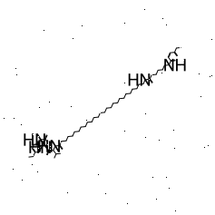 C=C(/C=C\C(=C)NCCCCCC(=C)NCCCCCCCCCCCCCCCCCCCCCCCCCCC(=C)NC(C(=C)NC(C)C(=C)Nc1ccc(CC)cc1)C(C)C)CC